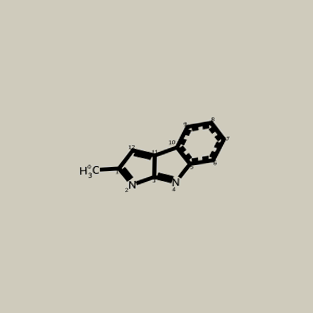 CC1=NC2=Nc3ccccc3C2=C1